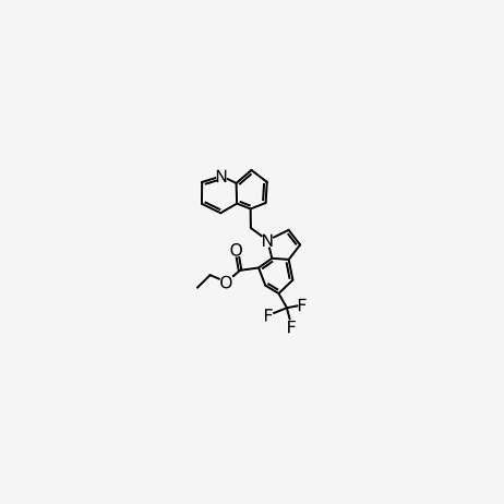 CCOC(=O)c1cc(C(F)(F)F)cc2ccn(Cc3cccc4ncccc34)c12